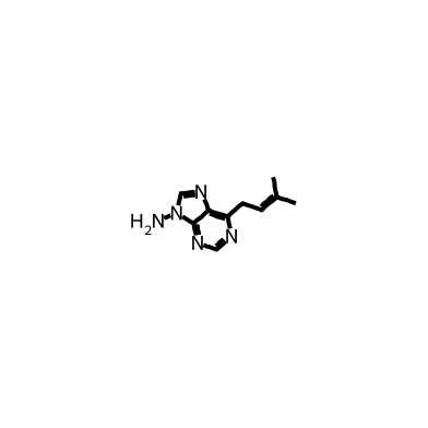 CC(C)=CCc1ncnc2c1ncn2N